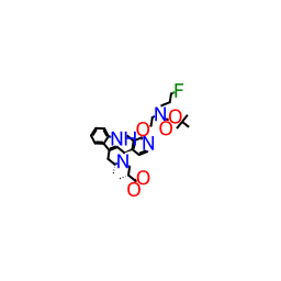 COC(=O)[C@H](C)CN1[C@H](c2ccnc(OCCN(CCCF)C(=O)OC(C)(C)C)c2C)c2[nH]c3ccccc3c2C[C@H]1C